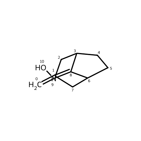 C=C1CC2CCC(C1)C2=NO